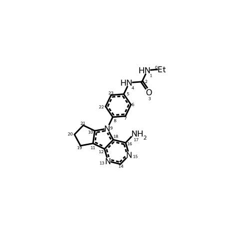 CCNC(=O)Nc1ccc(-n2c3c(c4ncnc(N)c42)CCC3)cc1